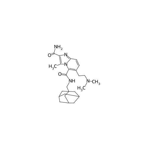 Cc1c(C(N)=O)nc2ccc(CCN(C)C)c(C(=O)NCC34CC5CC(CC(C5)C3)C4)n12